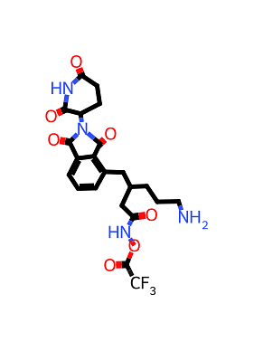 NCCCC(CC(=O)NOC(=O)C(F)(F)F)Cc1cccc2c1C(=O)N(C1CCC(=O)NC1=O)C2=O